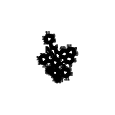 C1=Cc2cc(-c3cc(-c4ccccc4)nc(-c4ccccc4-c4ccc5c(c4)C4(c6ccccc6S5)c5ccccc5-c5ccccc54)n3)cc3cccc(c23)C1